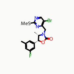 CSc1ncc(Br)c(CN2C(=O)O[C@H](c3cc(C)cc(F)c3)[C@@H]2C)n1